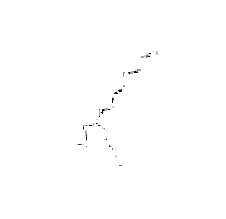 N=N/N=N/N=N/N=N/N(OOO)OOOO